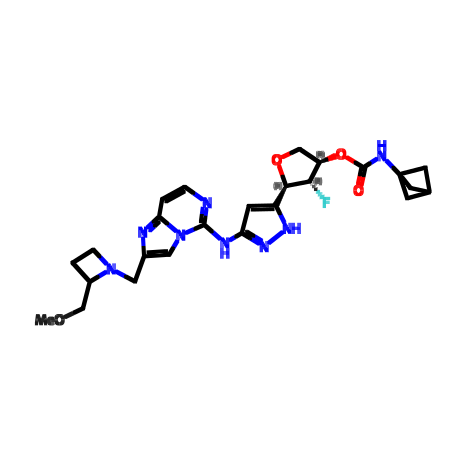 COCC1CCN1Cc1cn2c(Nc3cc([C@H]4OC[C@@H](OC(=O)NC56CC(C5)C6)[C@@H]4F)[nH]n3)nccc2n1